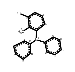 Cc1c(I)cccc1N(c1ccccc1)c1ccccc1